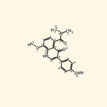 CCCOc1ccc(C(=O)N(C)C)c2c(=O)c(-c3ccc(OC)cc3)c[nH]c12